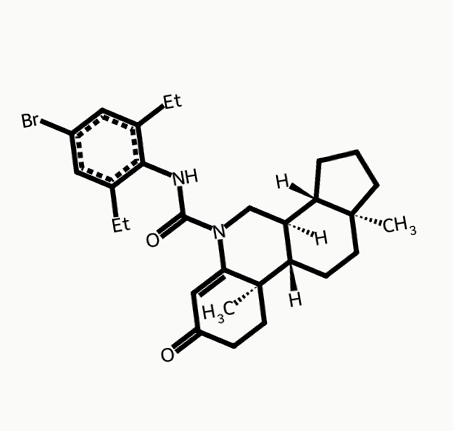 CCc1cc(Br)cc(CC)c1NC(=O)N1C[C@H]2[C@@H]3CCC[C@@]3(C)CC[C@@H]2[C@@]2(C)CCC(=O)C=C12